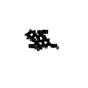 Nc1ccc(C(=C(c2ccccc2)S(=O)(=O)O)S(=O)(=O)O)c(N)c1